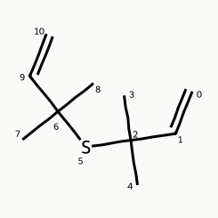 C=CC(C)(C)SC(C)(C)C=C